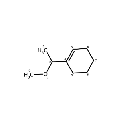 COC(C)C1=CCCCC1